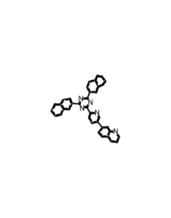 c1ccc2cc(-c3nc(-c4ccc5ccccc5c4)nc(-c4ccc(-c5ccc6cccnc6c5)cn4)n3)ccc2c1